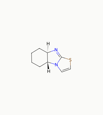 C1=CN2C(=N[C@@H]3CCCC[C@H]32)S1